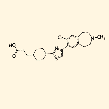 CN1CCc2cc(Cl)c(-c3csc(C4CCC(CCC(=O)O)CC4)n3)cc2CC1